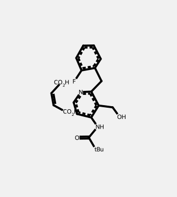 CC(C)(C)C(=O)Nc1ccnc(Cc2ccccc2F)c1CO.O=C(O)/C=C\C(=O)O